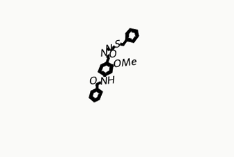 COc1cc(NC(=O)c2ccccc2)ccc1-c1nnc(SCc2ccccc2)o1